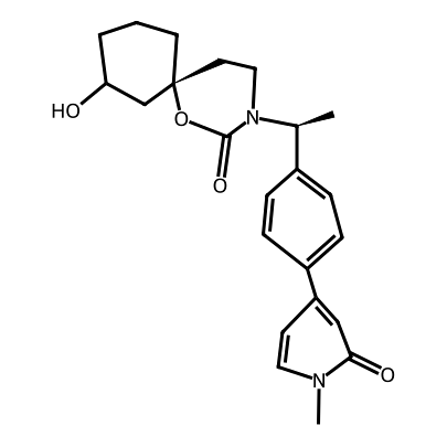 C[C@@H](c1ccc(-c2ccn(C)c(=O)c2)cc1)N1CC[C@@]2(CCCC(O)C2)OC1=O